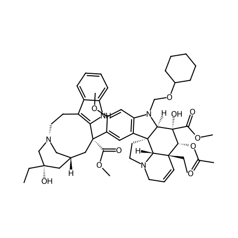 CC[C@]1(O)C[C@@H]2C[N@@](CCc3c([nH]c4ccccc34)[C@@](C(=O)OC)(c3cc4c(cc3OC)N(COC3CCCCC3)[C@H]3[C@@](O)(C(=O)OC)[C@H](OC(C)=O)[C@]5(CC)C=CCN6CC[C@]43[C@@H]65)C2)C1